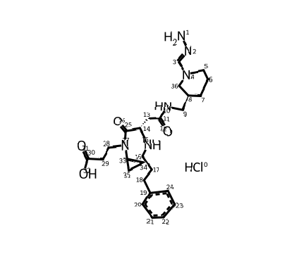 Cl.NN=CN1CCC[C@@H](CNC(=O)C[C@H](NCCCc2ccccc2)C(=O)N(CCC(=O)O)C2CC2)C1